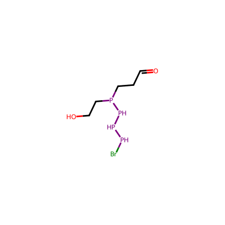 O=CCCP(CCO)PPPBr